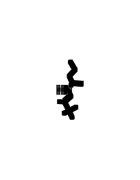 C=C(CCC)N/C=C(\C)C(C)(C)C